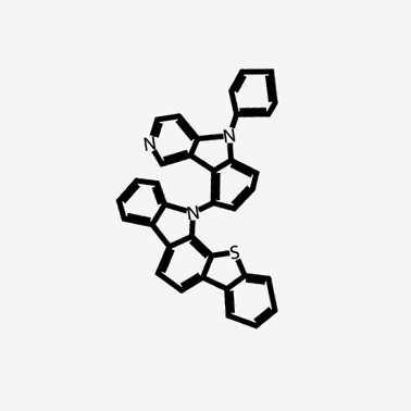 c1ccc(-n2c3ccncc3c3c(-n4c5ccccc5c5ccc6c7ccccc7sc6c54)cccc32)cc1